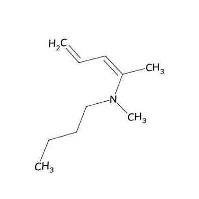 C=C/C=C(/C)N(C)CCCC